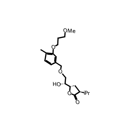 COCCCOc1cc(COC[C@@H](O)[C@@H]2C[C@@H](C(C)C)C(=O)O2)ccc1C